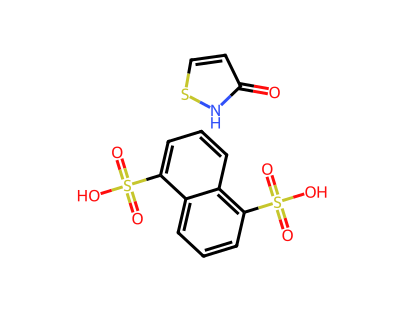 O=S(=O)(O)c1cccc2c(S(=O)(=O)O)cccc12.O=c1ccs[nH]1